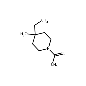 CCC1(C)CCN(C(C)=O)CC1